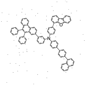 c1ccc(-c2c(-c3ccccc3)c3cc(-c4cccc(N(c5ccc(-c6ccc(-c7cccc8ccccc78)cc6)cc5)c5ccc(-c6cccc7c6oc6ccccc67)cc5)c4)ccc3c3ccccc23)cc1